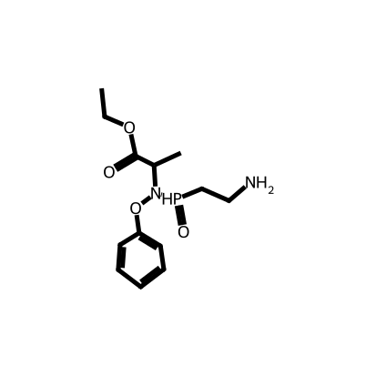 CCOC(=O)C(C)N(Oc1ccccc1)[PH](=O)CCN